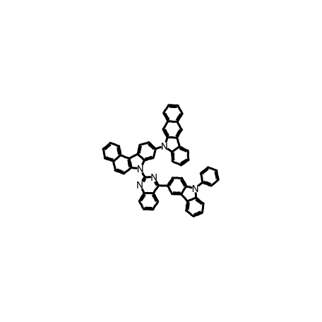 c1ccc(-n2c3ccccc3c3cc(-c4nc(-n5c6cc(-n7c8ccccc8c8cc9ccccc9cc87)ccc6c6c7ccccc7ccc65)nc5ccccc45)ccc32)cc1